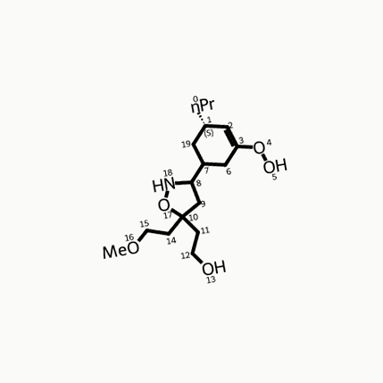 CCC[C@@H]1C=C(OO)CC(C2CC(CCO)(CCOC)ON2)C1